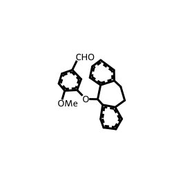 COc1ccc(C=O)cc1OC1c2ccccc2CCc2ccccc21